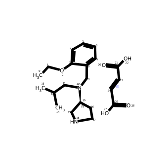 CCOc1ccccc1CN(CC(C)C)[C@H]1CCNC1.O=C(O)/C=C/C(=O)O